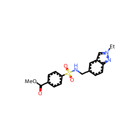 CCn1cc2cc(CNS(=O)(=O)c3ccc(C(=O)OC)cc3)ccc2n1